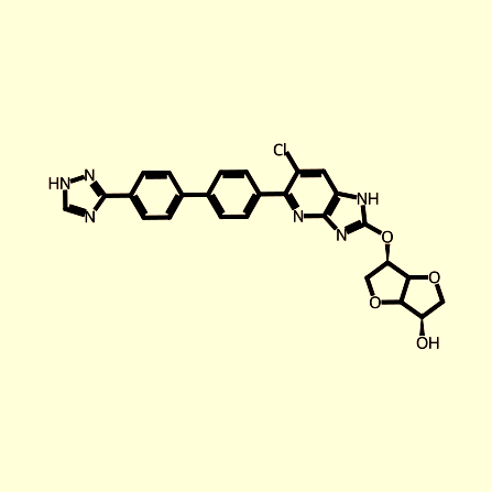 O[C@@H]1COC2C1OC[C@H]2Oc1nc2nc(-c3ccc(-c4ccc(-c5nc[nH]n5)cc4)cc3)c(Cl)cc2[nH]1